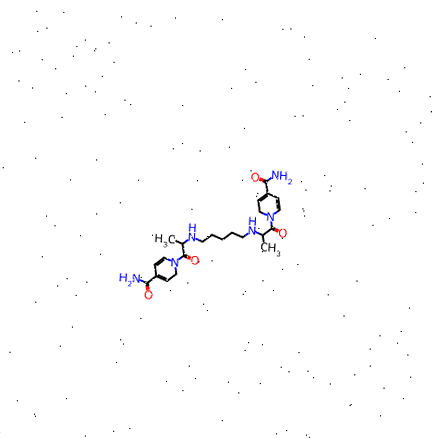 CC(NCCCCCNC(C)C(=O)N1C=CC(C(N)=O)=CC1)C(=O)N1C=CC(C(N)=O)=CC1